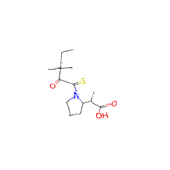 CCC(C)(C)C(=O)C(=S)N1CCCC1C(C)C(=O)O